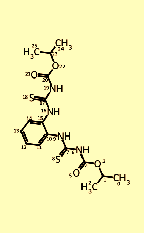 CC(C)OC(=O)NC(=S)Nc1ccccc1NC(=S)NC(=O)OC(C)C